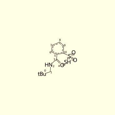 CC(C)(C)CNC(=O)c1ccccc1S(=O)(=O)S